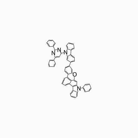 c1ccc(-c2cc(-n3c4ccccc4c4ccc(-c5ccc6c(c5)Oc5cc7c(c8cccc-6c58)c5ccccc5n7-c5ccccc5)cc43)nc(-c3ccccc3)n2)cc1